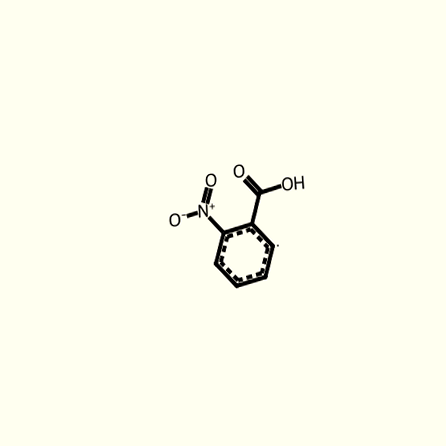 O=C(O)c1[c]cccc1[N+](=O)[O-]